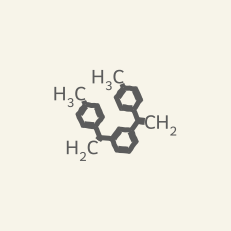 C=C(c1ccc(C)cc1)c1cccc(C(=C)c2ccc(C)cc2)c1